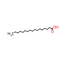 CCCCC[CH]CCCCCCCCCCC(=O)O